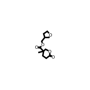 CC1(C(=O)OCC2CCOC2)CCC(=O)OC1